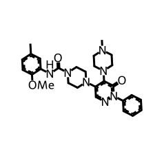 COc1ccc(C)cc1NC(=O)N1CCN(c2cnn(-c3ccccc3)c(=O)c2N2CCN(C)CC2)CC1